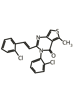 Cc1scc2nc(C=Cc3ccccc3Cl)n(-c3ccccc3Cl)c(=O)c12